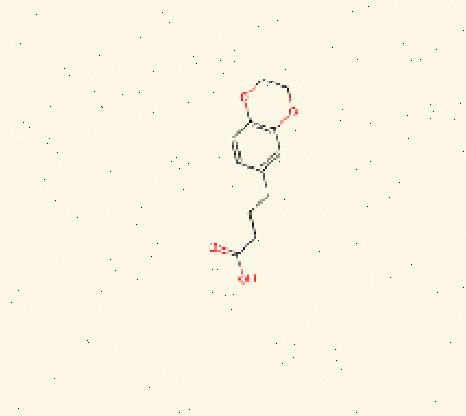 O=C(O)CCCc1ccc2c(c1)OCCO2